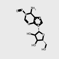 NC1c2ncn([C@@H]3O[C@H](CO)C(O)C3O)c2N=CN1P=O